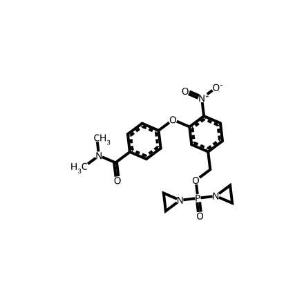 CN(C)C(=O)c1ccc(Oc2cc(COP(=O)(N3CC3)N3CC3)ccc2[N+](=O)[O-])cc1